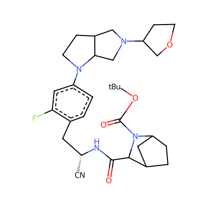 CC(C)(C)OC(=O)N1C2CCC(C2)C1C(=O)N[C@H](C#N)Cc1ccc(N2CCC3CN(C4CCOC4)CC32)cc1F